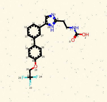 O=C(O)NCCc1ncc(-c2cccc(-c3ccc(OCC(F)(F)F)cc3)c2)[nH]1